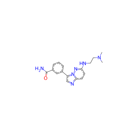 CN(C)CCNc1ccc2ncc(-c3cccc(C(N)=O)c3)n2n1